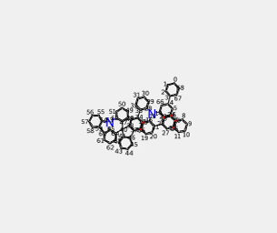 c1ccc(-c2cc(-c3ccccc3)cc(N(c3ccccc3-c3ccccc3)c3ccccc3-c3ccc4c(c3)C3(c5ccccc5-4)c4ccccc4-n4c5ccccc5c5cccc3c54)c2)cc1